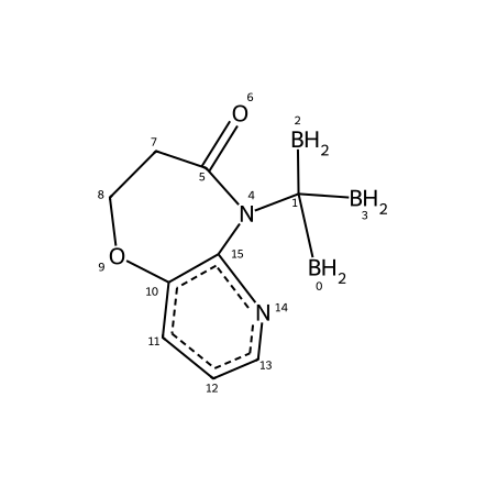 BC(B)(B)N1C(=O)CCOc2cccnc21